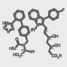 CC(C)n1c(/C=C/[C@@H](O)C[C@@H](O)CC(=O)O)c(-c2ccc(F)cc2)c2ccccc21.CCCCC(=O)N(Cc1ccc(-c2ccccc2-c2nnn[nH]2)cc1)[C@H](C(=O)O)C(C)C